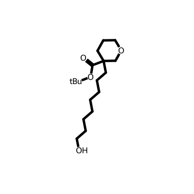 CC(C)(C)OC(=O)C1(CCCCCCCCO)CCCOC1